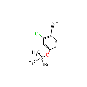 C#Cc1ccc(O[Si](C)(C)C(C)(C)C)cc1Cl